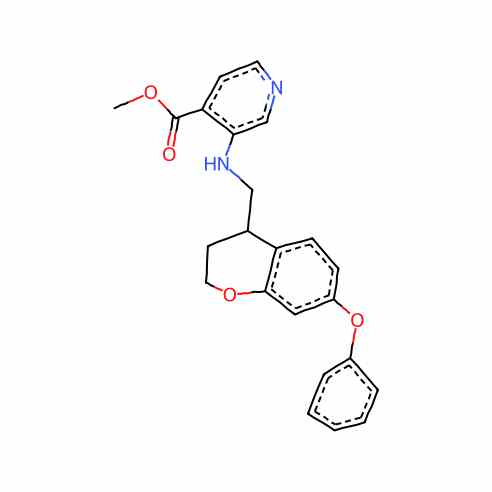 COC(=O)c1ccncc1NCC1CCOc2cc(Oc3ccccc3)ccc21